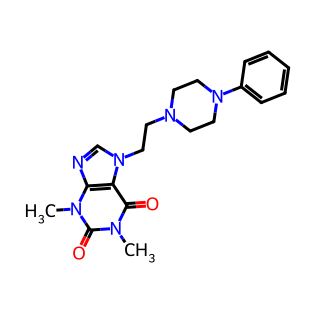 Cn1c(=O)c2c(ncn2CCN2CCN(c3ccccc3)CC2)n(C)c1=O